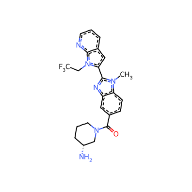 Cn1c(-c2cc3cccnc3n2CC(F)(F)F)nc2cc(C(=O)N3CCC[C@@H](N)C3)ccc21